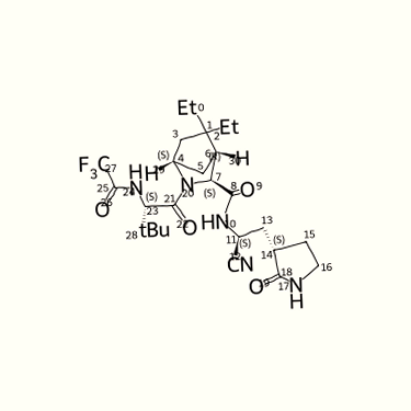 CCC1(CC)C[C@@H]2C[C@H]1[C@@H](C(=O)N[C@H](C#N)C[C@@H]1CCNC1=O)N2C(=O)[C@@H](NC(=O)C(F)(F)F)C(C)(C)C